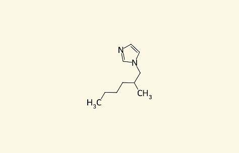 CCCCC(C)Cn1ccnc1